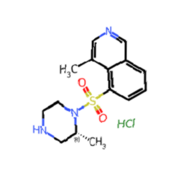 Cc1cncc2cccc(S(=O)(=O)N3CCNC[C@H]3C)c12.Cl